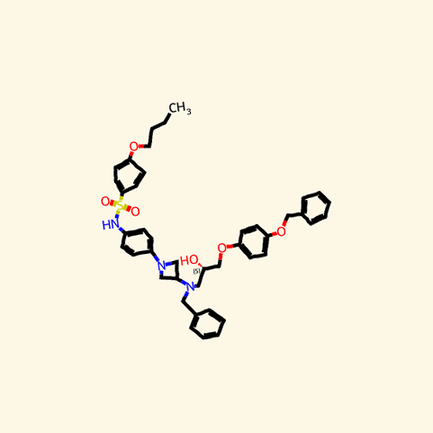 CCCCOc1ccc(S(=O)(=O)Nc2ccc(N3CC(N(Cc4ccccc4)C[C@H](O)COc4ccc(OCc5ccccc5)cc4)C3)cc2)cc1